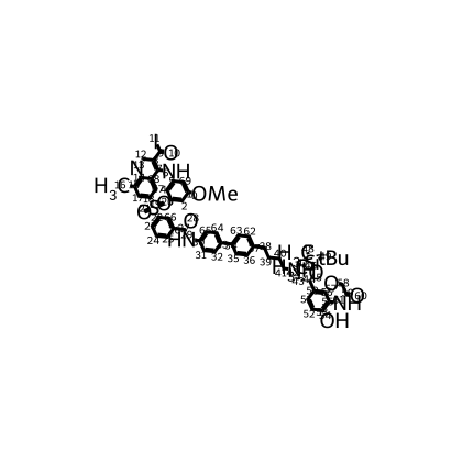 COc1cccc(Nc2c(C(=O)I)cnc3c(C)cc(S(=O)(=O)c4cccc(C(=O)Nc5ccc(-c6ccc(CCCCNC[C@H](O[Si](C)(C)C(C)(C)C)c7ccc(O)c8c7OCC(=O)N8)cc6)cc5)c4)cc23)c1